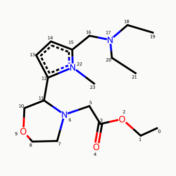 CCOC(=O)CN1CCOCC1c1ccc(CN(CC)CC)n1C